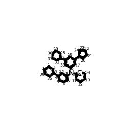 c1ccc(-c2cccc(N(c3ccccc3)c3cc(-c4ccccc4)cc(-c4ccccc4)c3)c2)cc1